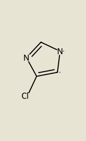 ClC1=[C][N]C=N1